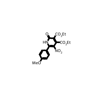 CCOC(=O)c1c([N+](=O)[O-])c(-c2ccc(OC)cc2)[nH]c(=O)c1C(=O)OCC